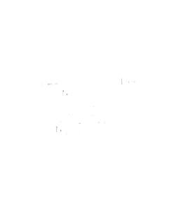 CCCCCCCCCCCCOC(=O)c1ccncc1.CN1CCCC1=O